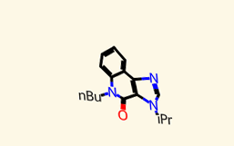 CCCCn1c(=O)c2c(ncn2C(C)C)c2ccccc21